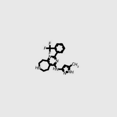 Cc1cc(Nc2nc(-c3ccccc3C(F)(F)F)nc3c2CCNCC3)n[nH]1